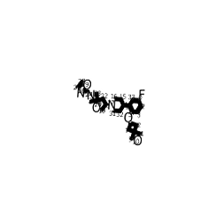 Fc1ccc(OC2CC3(COC3)C2)c(C2CCN([C@@H]3COC4(C3)CN(c3ncco3)C4)CC2)c1